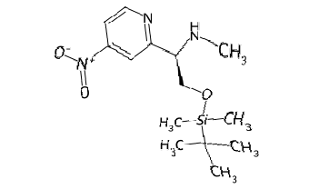 CN[C@@H](CO[Si](C)(C)C(C)(C)C)c1cc([N+](=O)[O-])ccn1